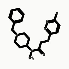 CN(C(=O)COc1ccc(Cl)nn1)C1CCN(Cc2ccccc2)CC1